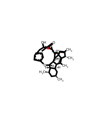 CC1=CC2(C)C(=C(C)[C@H]3[C@H]4C[C@@H](C)C[C@@H](C)[C@@H]4[C@@H]4Oc5ccc(cc5)CC5(O)NC(=O)C6(OC56)C(=O)[C@@H]2[C@H]43)[C@H]1C